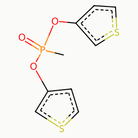 CP(=O)(Oc1ccsc1)Oc1ccsc1